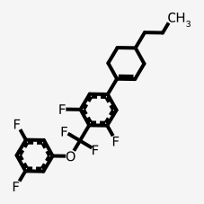 CCCC1CC=C(c2cc(F)c(C(F)(F)Oc3cc(F)cc(F)c3)c(F)c2)CC1